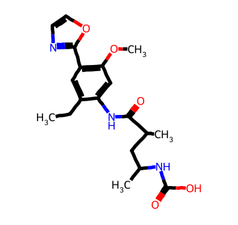 CCc1cc(-c2ncco2)c(OC)cc1NC(=O)C(C)CC(C)NC(=O)O